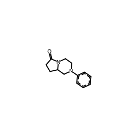 O=C1CCC2CN(c3ccccc3)CCN12